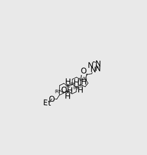 CCOCC1C2[C@@H]3CC[C@@H]4[C@H](CC[C@]5(C)[C@@H](C(=O)Cn6ncnn6)CC[C@@H]45)[C@H]3CC[C@]12O